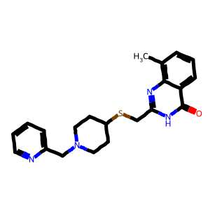 Cc1cccc2c(=O)[nH]c(CSC3CCN(Cc4ccccn4)CC3)nc12